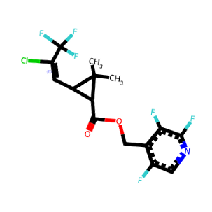 CC1(C)C(/C=C(/Cl)C(F)(F)F)C1C(=O)OCc1c(F)cnc(F)c1F